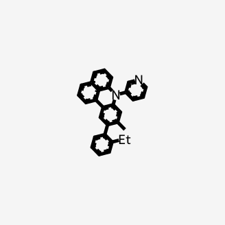 CCc1ccccc1-c1cc2c(cc1C)N(c1cccnc1)c1cccc3cccc-2c13